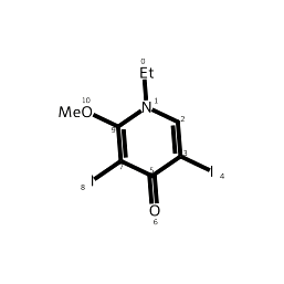 CCn1cc(I)c(=O)c(I)c1OC